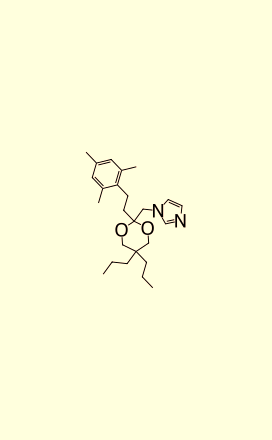 CCCC1(CCC)COC(CCc2c(C)cc(C)cc2C)(Cn2ccnc2)OC1